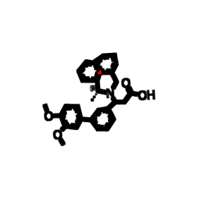 COc1ccc(-c2cccc(C(CC(=O)O)N(Cc3ccccc3)[C@H](C)c3ccccc3)c2)cc1OC